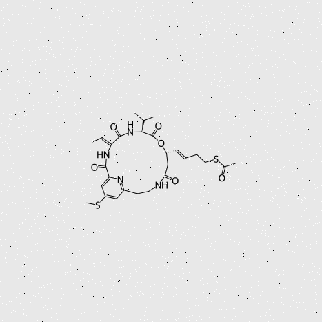 C/C=C1\NC(=O)c2cc(SC)cc(n2)CCNC(=O)C[C@@H](/C=C/CCSC(C)=O)OC(=O)[C@H](C(C)C)NC1=O